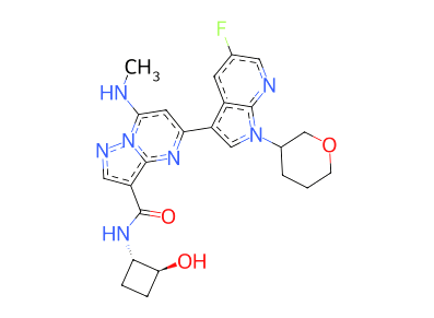 CNc1cc(-c2cn(C3CCCOC3)c3ncc(F)cc23)nc2c(C(=O)N[C@H]3CC[C@@H]3O)cnn12